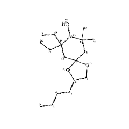 CCCCC1COC2(CC(C)(C)N(O)C(CC)(CC)C2)O1